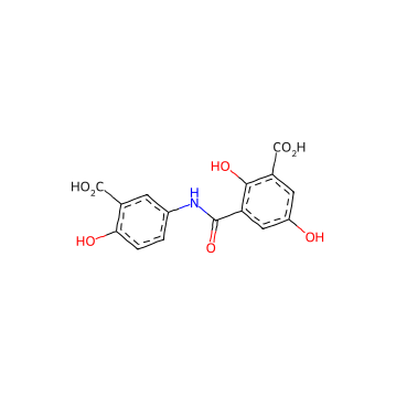 O=C(O)c1cc(NC(=O)c2cc(O)cc(C(=O)O)c2O)ccc1O